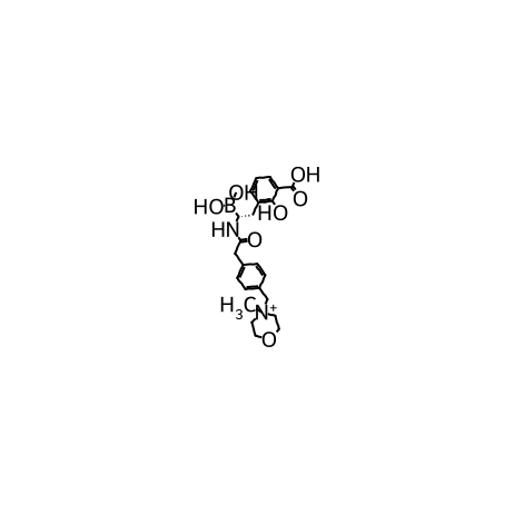 C[N+]1(Cc2ccc(CC(=O)N[C@@H](Cc3cccc(C(=O)O)c3O)B(O)O)cc2)CCOCC1